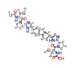 COC(=O)N[C@H](C(=O)N1CCC[C@H]1c1ncc(-c2ccc3c(c2)Cc2cc(-c4cnc([C@@H]5CCCN5C(=O)[C@@H](NC(=O)O)[C@@H](C)OC)[nH]4)ccc2-3)[nH]1)C(C)OC